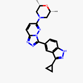 C[C@@H]1CN(c2ccc3nnc(-c4ccc5[nH]nc(C6CC6)c5c4)n3n2)C[C@H](C)O1